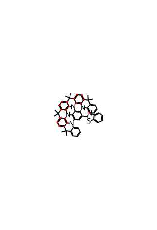 CC1(C)c2ccccc2N(c2cc(-c3nc4ccccc4s3)c(N3c4ccccc4C(C)(C)c4ccccc43)c(N3c4ccccc4C(C)(C)c4ccccc43)c2N2c3ccccc3C(C)(C)c3ccccc32)c2ccccc21